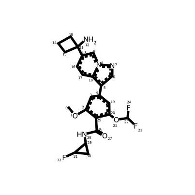 COc1cc(-c2cnn3cc(C4(N)CCC4)ccc23)cc(OC(F)F)c1C(=O)NC1CC1F